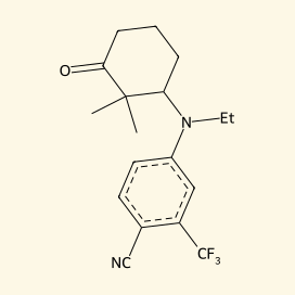 CCN(c1ccc(C#N)c(C(F)(F)F)c1)C1CCCC(=O)C1(C)C